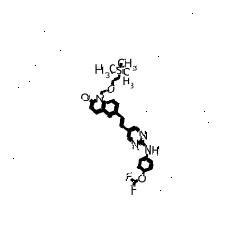 C[Si](C)(C)CCOCn1c(=O)ccc2cc(C=Cc3cnc(Nc4ccc(OC(F)F)cc4)nc3)ccc21